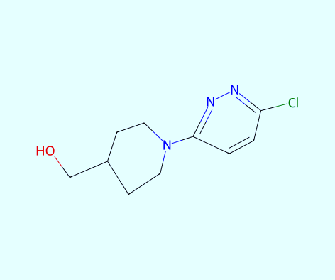 OCC1CCN(c2ccc(Cl)nn2)CC1